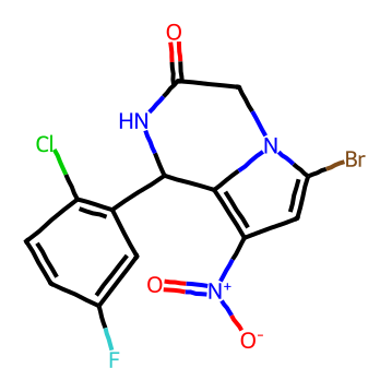 O=C1Cn2c(Br)cc([N+](=O)[O-])c2C(c2cc(F)ccc2Cl)N1